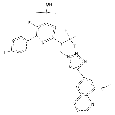 COc1cc(-c2cn(CC(c3cc(C(C)(C)O)c(F)c(-c4ccc(F)cc4)n3)C(F)(F)F)nn2)cc2cccnc12